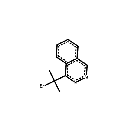 CC(C)(Br)c1nncc2ccccc12